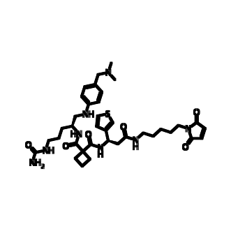 CN(C)Cc1ccc(NC[C@H](CCCNC(N)=O)NC(=O)C2(C(=O)N[C@H](CC(=O)NCCCCCN3C(=O)C=CC3=O)c3ccsc3)CCC2)cc1